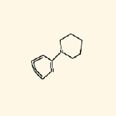 C1=C=CC(N2CCCCC2)=NC=1